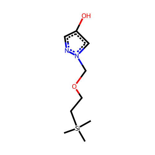 C[Si](C)(C)CCOCn1cc(O)cn1